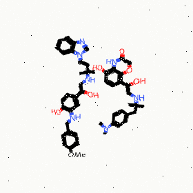 CN(C)c1ccc(CC(C)(C)NCC(O)c2ccc(O)c3c2OCC(=O)N3)cc1.COc1ccc(CNc2cc(C(O)CNC(C)(C)CCn3cnc4ccccc43)ccc2O)cc1